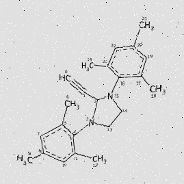 C#CC1N(c2c(C)cc(C)cc2C)CCN1c1c(C)cc(C)cc1C